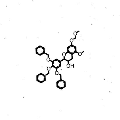 COCOc1cc(OC)c2c(c1)OC(c1cc(OCc3ccccc3)c(OCc3ccccc3)c(OCc3ccccc3)c1)C(O)C2